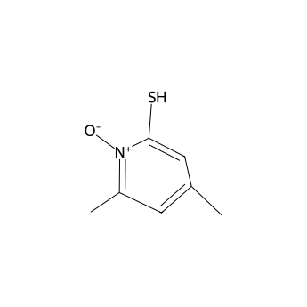 Cc1cc(C)[n+]([O-])c(S)c1